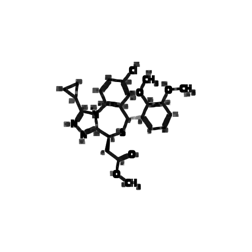 COC(=O)C[C@@H]1S[C@@H](c2cccc(OC)c2OC)c2cc(Cl)ccc2-n2c(C3CC3)nnc21